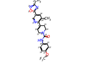 Cc1noc(-c2cnc(C3=CCN(C(=O)Nc4ccc(OC(F)(F)F)cc4)CC3)c(C)c2)n1